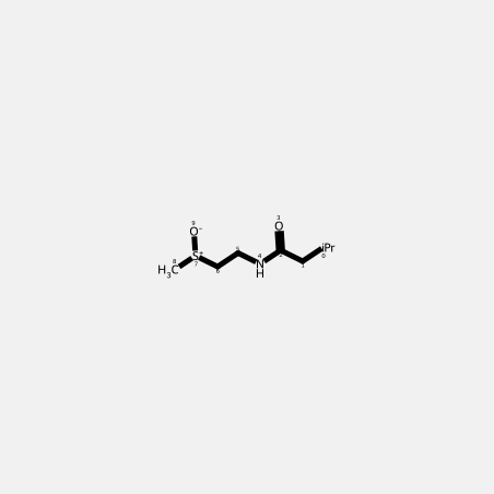 CC(C)CC(=O)NCC[S+](C)[O-]